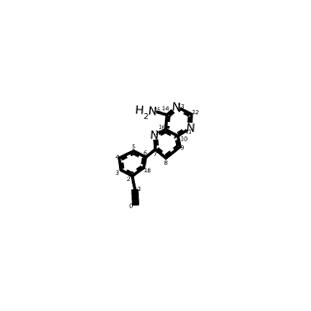 C#Cc1cccc(-c2ccc3ncnc(N)c3n2)c1